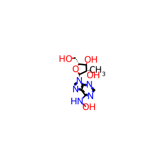 C[C@@]1(O)[C@H](O)[C@@H](CO)O[C@H]1n1cnc2c(NO)ncnc21